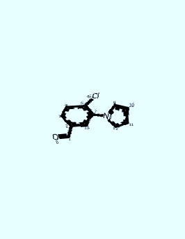 O=Cc1ccc(Cl)c(-n2cccc2)c1